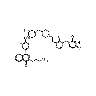 CCCCn1cc(-c2ccc(O[C@@H]3CCN(CC4CCN(CCn5cccc(Cn6ccc(=O)[nH]c6=O)c5=O)CC4)C[C@H]3F)c(F)c2)c2ccncc2c1=O